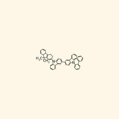 CC1(C)C2=C(CCC(n3c4ccccc4c4cc(-c5ccc6c(c5)c5ccccc5n6-c5ccccc5-c5ccccc5)ccc43)=C2)C2C=CC=CC21